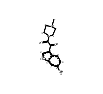 CN1CCN(C(=O)C(=O)c2c[nH]c3cc(O)ccc23)CC1